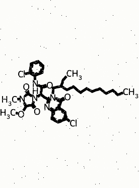 CCCCCCCCCCC(CC)Cn1c(C(C(=O)Nc2ccccc2Cl)N2C(=O)C(OC)N(C)C2=O)nc2ccc(Cl)cc2c1=O